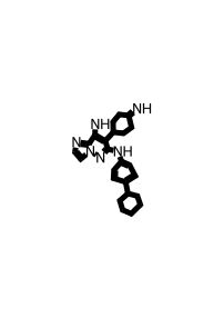 N=C1CCC(c2c(Nc3ccc(C4CCCCC4)cc3)nn3ccnc3c2N)CC1